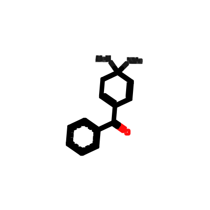 CNC1(NC)C=CC(C(=O)c2ccccc2)=CC1